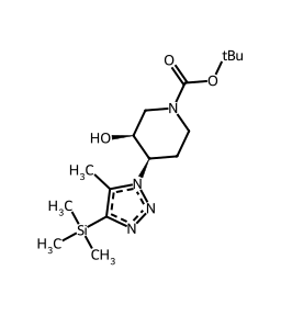 Cc1c([Si](C)(C)C)nnn1[C@@H]1CCN(C(=O)OC(C)(C)C)C[C@@H]1O